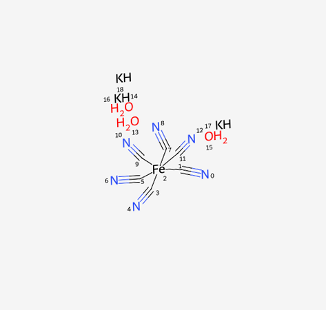 N#[C][Fe]([C]#N)([C]#N)([C]#N)([C]#N)[C]#N.O.O.O.[KH].[KH].[KH]